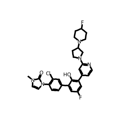 Cn1ccn(-c2ccc(-c3cc(F)cc(-c4ccnc(N5CCC(N6CCC(F)CC6)C5)c4)c3O)cc2Cl)c1=O